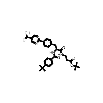 CC(C)(C)OC(=O)CCNC(=O)C(Cc1ccc(-c2ncc(C(=O)O)cn2)cc1)NC(=O)c1ccc(C(C)(C)C)cc1